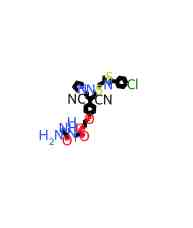 C[C@H](NC(=O)C(N)N)C(=O)OCCOc1ccc(-c2c(C#N)c(SCc3csc(-c4ccc(Cl)cc4)n3)nc(N3CCCC3)c2C#N)cc1